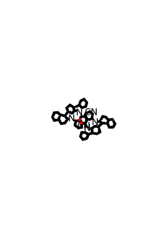 N#Cc1cc(-n2c3ccccc3c3ccc4c5c6ccccc6ccc5n(-c5ccccc5)c4c32)c(C#N)cc1-n1c2ccccc2c2ccc3c4c5ccccc5ccc4n(-c4ccccc4)c3c21